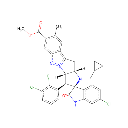 COC(=O)c1cc2nn3c(c2cc1C)C[C@H]1[C@@H]3[C@H](c2cccc(Cl)c2F)[C@]2(C(=O)Nc3cc(Cl)ccc32)N1CC1CC1